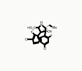 CC(C)(C)C[C@H]1NC(C(=O)O)C(c2cccc(Cl)c2F)[C@]1(C#N)c1ccc(Cl)cc1F